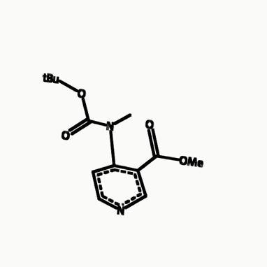 COC(=O)c1cnccc1N(C)C(=O)OC(C)(C)C